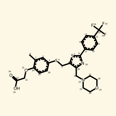 Cc1cc(SCc2sc(-c3ccc(C(F)(F)F)cc3)nc2CN2CCOCC2)ccc1OCC(=O)O